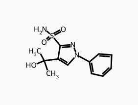 CC(C)(O)c1cn(-c2ccccc2)nc1S(N)(=O)=O